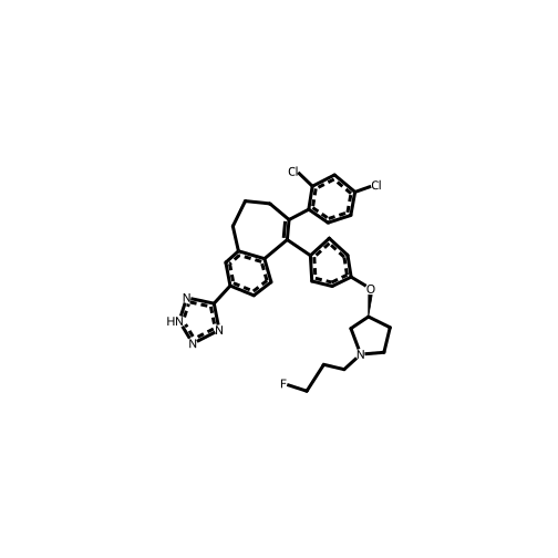 FCCCN1CC[C@H](Oc2ccc(C3=C(c4ccc(Cl)cc4Cl)CCCc4cc(-c5nn[nH]n5)ccc43)cc2)C1